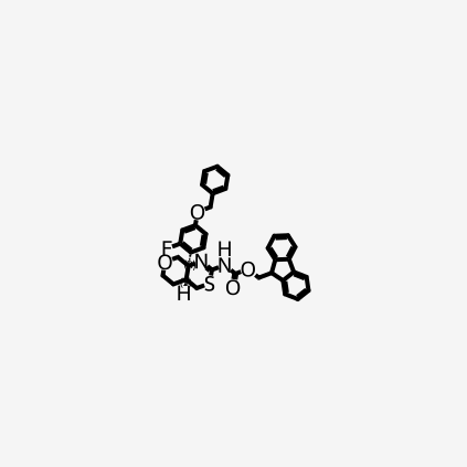 O=C(NC1=N[C@]2(c3ccc(OCc4ccccc4)cc3F)COCC[C@@H]2CS1)OCC1c2ccccc2-c2ccccc21